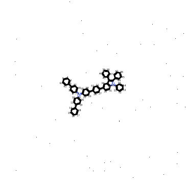 c1ccc(-c2ccc(N(c3ccc(-c4ccccc4)cc3)c3ccc(-c4ccc(-c5ccc6c(c5)c(-c5ccccc5)c(-c5ccccc5)n6-c5ccccc5)cc4)cc3)cc2)cc1